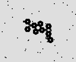 Cc1cccc(N(c2ccccc2)c2ccc3c(c2)-c2ccccc2-c2ccc(N4c5ccccc5Sc5cc6c(cc54)oc4ccccc46)cc2-c2ccccc2-3)c1